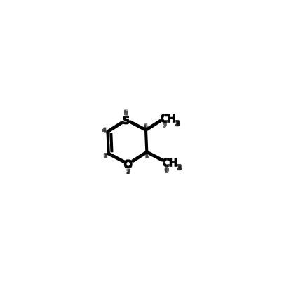 CC1OC=CSC1C